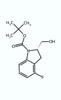 CC(C)(C)OC(=O)N1c2cccc(F)c2C[C@H]1CO